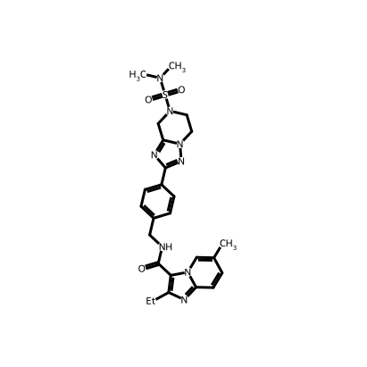 CCc1nc2ccc(C)cn2c1C(=O)NCc1ccc(-c2nc3n(n2)CCN(S(=O)(=O)N(C)C)C3)cc1